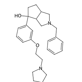 OC1(c2cccc(OCCN3CCCC3)c2)CCC2CN(Cc3ccccc3)CC21